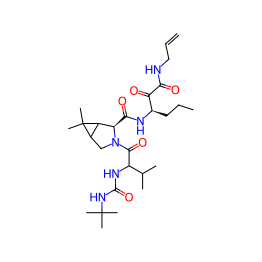 C=CCNC(=O)C(=O)[C@@H](CCC)NC(=O)[C@@H]1C2C(CN1C(=O)C(NC(=O)NC(C)(C)C)C(C)C)C2(C)C